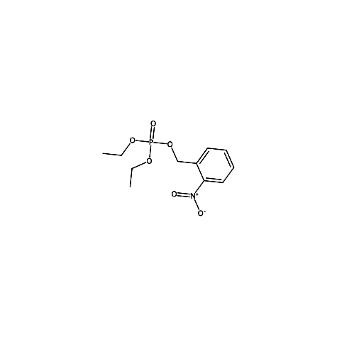 CCOP(=O)(OCC)OCc1ccccc1[N+](=O)[O-]